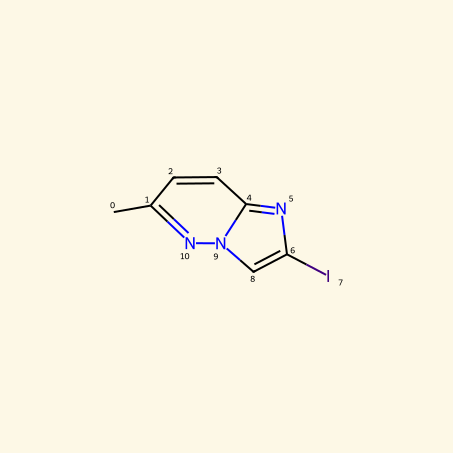 Cc1ccc2nc(I)cn2n1